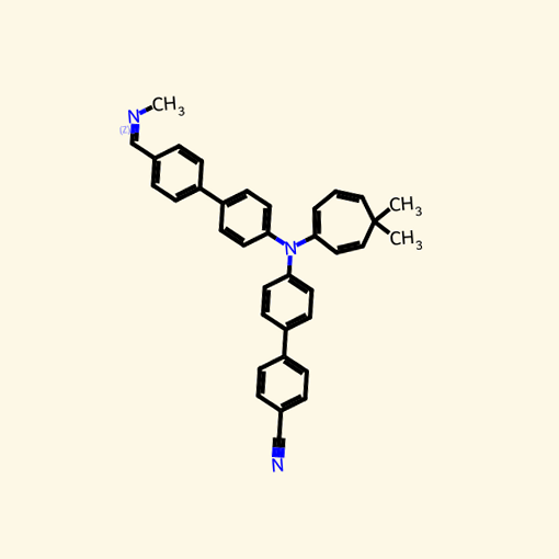 C/N=C\c1ccc(-c2ccc(N(C3=CC=CC(C)(C)C=C3)c3ccc(-c4ccc(C#N)cc4)cc3)cc2)cc1